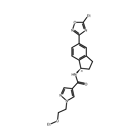 CCOCCn1cc(C(=O)N[C@@H]2CCc3cc(-c4noc(CC)n4)ccc32)cn1